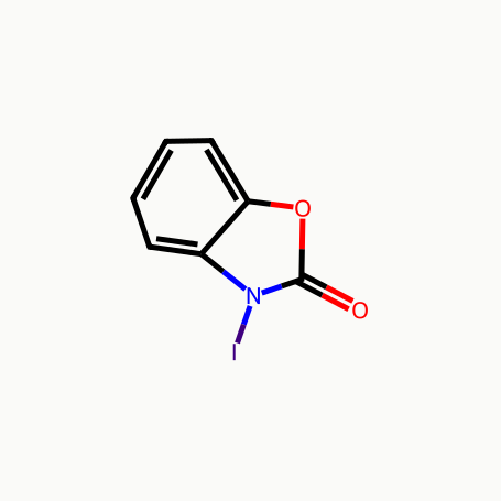 O=c1oc2ccccc2n1I